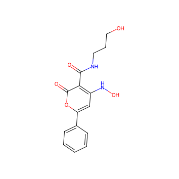 O=C(NCCCO)c1c(NO)cc(-c2ccccc2)oc1=O